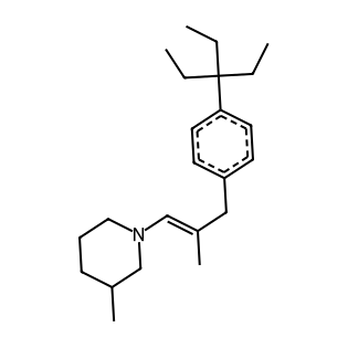 CCC(CC)(CC)c1ccc(CC(C)=CN2CCCC(C)C2)cc1